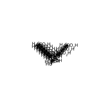 C=C(OP(=O)(O)O)C(=O)O.C=C(OP(=O)(O)O)C(=O)O.C=C(OP(=O)(O)O)C(=O)O.C=C(OP(=O)(O)O)C(=O)O.C=C(OP(=O)(O)O)C(=O)O.C=C(OP(=O)(O)O)C(=O)O.C=C(OP(=O)(O)O)C(=O)O.C=C(OP(=O)(O)O)C(=O)O.C=C(OP(=O)(O)O)C(=O)O.OC[C@H]1O[C@@](CO)(O[C@H]2O[C@H](CO)[C@@H](O)[C@H](O)[C@H]2O)[C@@H](O)[C@@H]1O